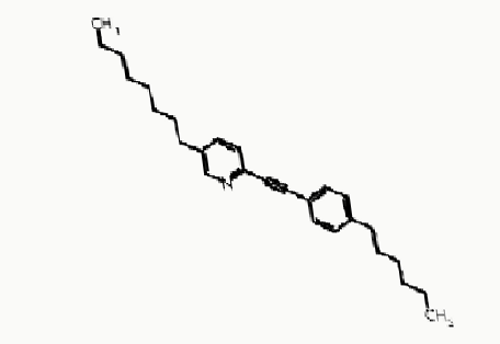 CCCCCCCCc1ccc(C#Cc2ccc(CCCCCC)cc2)nc1